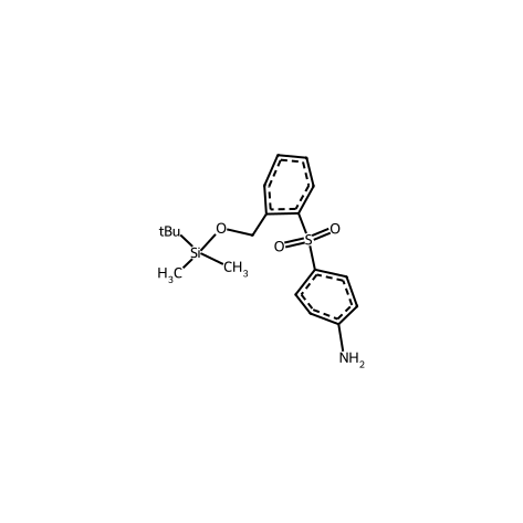 CC(C)(C)[Si](C)(C)OCc1ccccc1S(=O)(=O)c1ccc(N)cc1